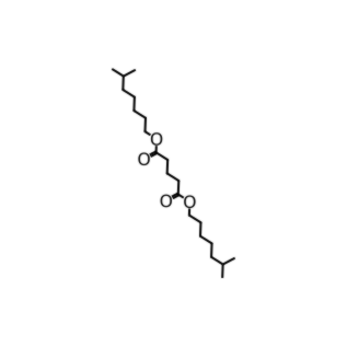 CC(C)CCCCCOC(=O)CCCC(=O)OCCCCCC(C)C